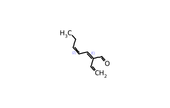 C=C/C(C=O)=C\C=C/CC